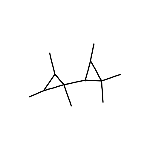 CC1[C](C2(C)C(C)C2C)C1(C)C